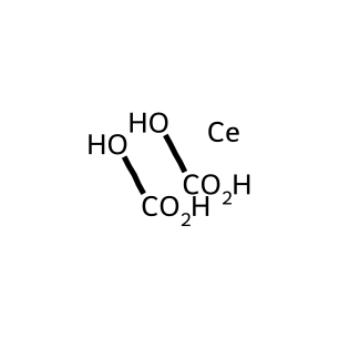 O=C(O)O.O=C(O)O.[Ce]